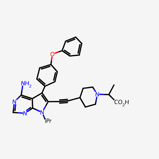 CC(C(=O)O)N1CCC(C#Cc2c(-c3ccc(Oc4ccccc4)cc3)c3c(N)ncnc3n2C(C)C)CC1